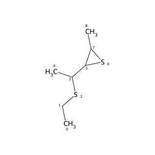 CCSC(C)C1SC1C